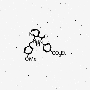 CCOC(=O)c1ccc(NC(=O)c2cccnc2N(Cl)Cc2ccc(OC)cc2)cc1